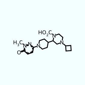 Cn1nc(N2CCC(C3CN(C4CCC4)CCN3C(=O)O)CC2)ccc1=O